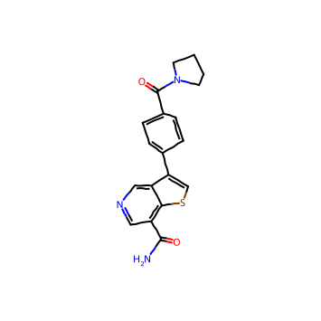 NC(=O)c1cncc2c(-c3ccc(C(=O)N4CCCC4)cc3)csc12